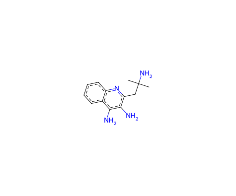 CC(C)(N)Cc1nc2ccccc2c(N)c1N